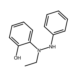 CCN(Nc1ccccc1)c1ccccc1O